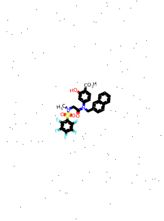 CN(CC(=O)N(Cc1ccc2ccccc2c1)c1ccc(C(=O)O)c(O)c1)S(=O)(=O)c1c(F)c(F)c(F)c(F)c1F